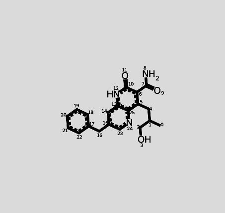 CC(CO)Cc1c(C(N)=O)c(=O)[nH]c2cc(Cc3ccccc3)cnc12